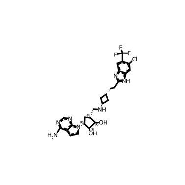 Nc1ncnc2c1ccn2[C@@H]1C[C@H](CN[C@H]2C[C@@H](CCc3nc4cc(C(F)(F)F)c(Cl)cc4[nH]3)C2)[C@@H](O)[C@H]1O